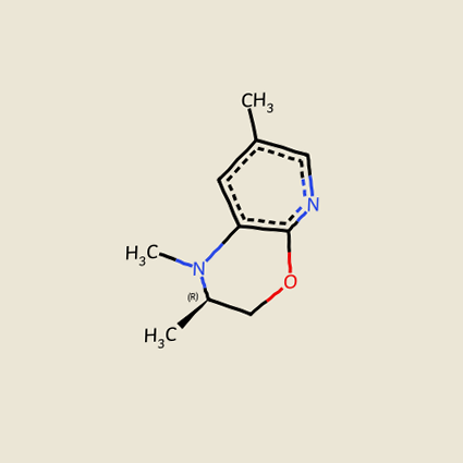 Cc1cnc2c(c1)N(C)[C@H](C)CO2